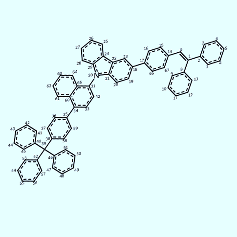 C(=C(c1ccccc1)c1ccccc1)c1ccc(-c2ccc3c(c2)c2ccccc2n3-c2ccc(-c3ccc(C(c4ccccc4)(c4ccccc4)c4ccccc4)cc3)c3ccccc23)cc1